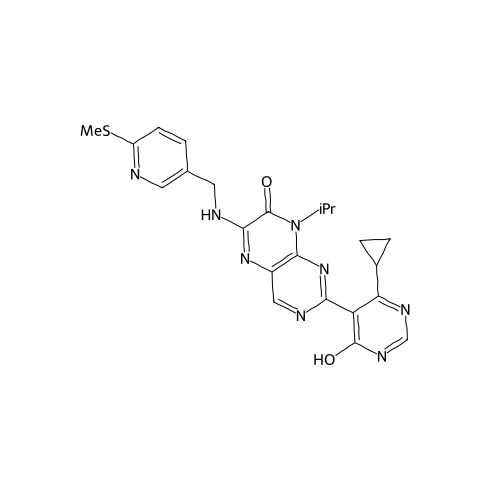 CSc1ccc(CNc2nc3cnc(-c4c(O)ncnc4C4CC4)nc3n(C(C)C)c2=O)cn1